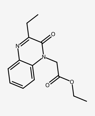 CCOC(=O)Cn1c(=O)c(CC)nc2ccccc21